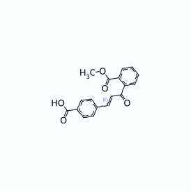 COC(=O)c1ccccc1C(=O)/C=C/c1ccc(C(=O)O)cc1